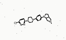 CN1CC2CCN(c3ccc(N4CCN(c5ccc(Cl)nn5)CC4)cc3)C2C1